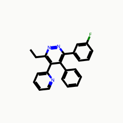 CCc1nnc(-c2cccc(F)c2)c(-c2ccccc2)c1-c1ccccn1